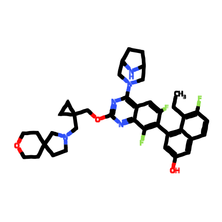 CCc1c(F)ccc2cc(O)cc(-c3c(F)cc4c(N5CC6CCC(C5)N6)nc(OCC5(CN6CCC7(CCOCC7)C6)CC5)nc4c3F)c12